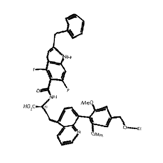 CCOCc1cc(OC)c(-c2ccc(C[C@H](NC(=O)c3c(F)cc4[nH]c(Cc5ccccc5)cc4c3F)C(=O)O)c3cccnc23)c(OC)c1